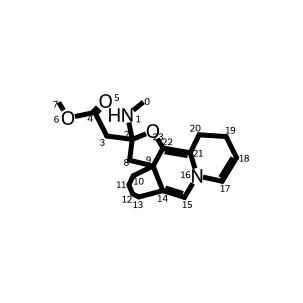 CNC1(CC(=O)OC)CC23CCCCC2=CN2C=CCCC2=C3O1